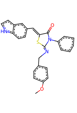 COc1ccc(CN=C2SC(=Cc3ccc4[nH]ccc4c3)C(=O)N2c2ccccc2)cc1